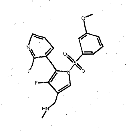 CNCc1cn(S(=O)(=O)c2cccc(OC)c2)c(-c2cccnc2F)c1F